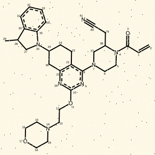 C=CC(=O)N1CCN(c2nc(OCCN3CCOCC3)nc3c2CCC(N2CC(C)c4ccccc42)C3)CC1CC#N